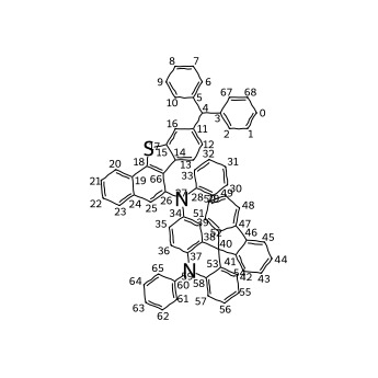 c1ccc(C(c2ccccc2)c2ccc3c(c2)sc2c4ccccc4cc(N(c4ccccc4)c4ccc5c(c4)C4(c6ccccc6-c6ccccc64)c4ccccc4N5c4ccccc4)c32)cc1